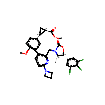 COC(=O)[C@@H]1C[C@H]1c1ccc(OC)c(-c2ccc(N3CCC3)nc2CN2C(=O)O[C@H](c3cc(F)c(F)c(F)c3)[C@@H]2C)c1